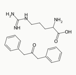 N=C(N)NCCCC(N)C(=O)O.O=C(Cc1ccccc1)Cc1ccccc1